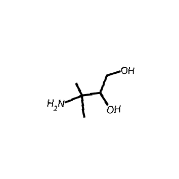 CC(C)(N)C(O)CO